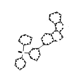 O=P(c1ccccc1)(c1ccccc1)c1cccc(-c2ccc3c(c2)ncc2sc4ccccc4c23)c1